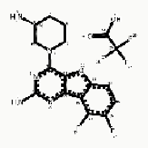 Nc1nc(N2CCC[C@H](N)C2)c2oc3ccc(F)c(F)c3c2n1.O=C(O)C(F)(F)F